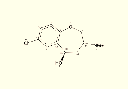 CN[C@H]1COc2ccc(Cl)cc2[C@H](O)C1